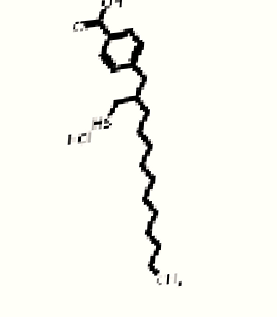 CCCCCCCCCCCC(CS)Cc1ccc(C(=O)O)cc1.Cl